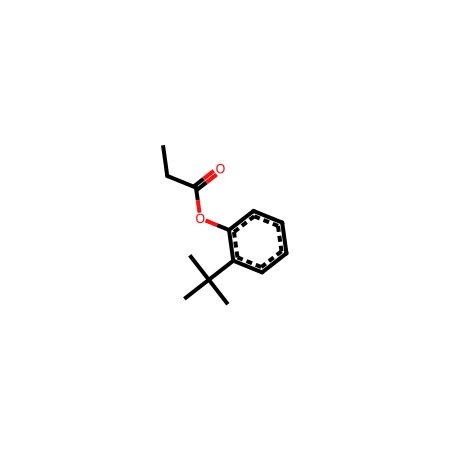 CCC(=O)Oc1ccccc1C(C)(C)C